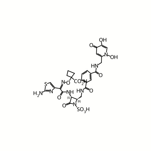 Nc1nc(C(=NOC2(C(=O)O)CCC2)C(=O)N[C@@H]2C(=O)N(S(=O)(=O)O)[C@@H]2CNC(=O)c2cccc(C(=O)NCc3cc(=O)c(O)cn3O)c2)cs1